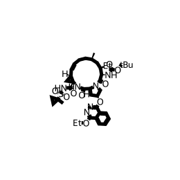 CCOc1nnc(O[C@@H]2C[C@H]3C(=O)N[C@]4(C(=O)NS(=O)(=O)C5(C)CC5)C[C@H]4/C=C\CC[C@@H](C)C[C@@H](CC)[C@H](NC(=O)OC(C)(C)C)C(=O)N3C2)c2ccccc12